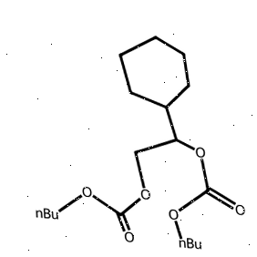 CCCCOC(=O)OCC(OC(=O)OCCCC)C1CCCCC1